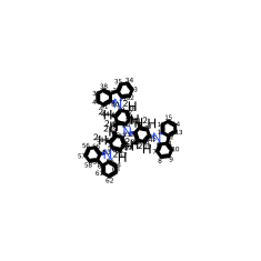 [2H]c1c([2H])c(-n2c3ccccc3c3ccccc32)c([2H])c([2H])c1N(c1c([2H])c([2H])c(-n2c3ccccc3c3ccccc32)c([2H])c1[2H])c1c([2H])c([2H])c(-n2c3ccccc3c3ccccc32)c([2H])c1[2H]